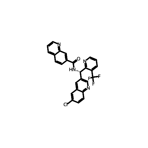 O=C(N[C@@H](c1cnc2ccc(Cl)cc2c1)c1ncccc1C(F)(F)F)c1ccc2cccnc2c1